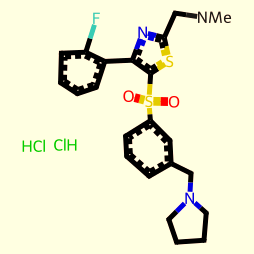 CNCc1nc(-c2ccccc2F)c(S(=O)(=O)c2cccc(CN3CCCC3)c2)s1.Cl.Cl